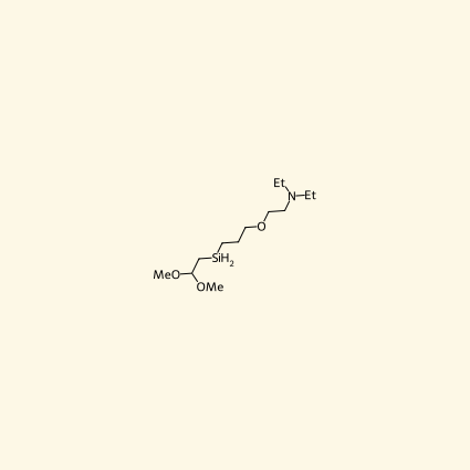 CCN(CC)CCOCCC[SiH2]CC(OC)OC